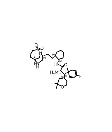 CC1(C)C[C@@H]([C@@H]([C@H](N)C(=O)N[C@H]2CCCC[C@@H]2CC[C@H]2CN[C@@H]3CCCS(=O)(=O)N2C3)C2(C)C=CC(F)=CC2)CCO1